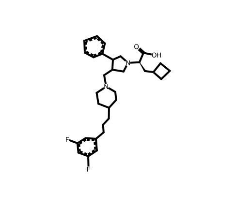 O=C(O)[C@@H](CC1CCC1)N1CC(CN2CCC(CCCc3cc(F)cc(F)c3)CC2)C(c2ccccc2)C1